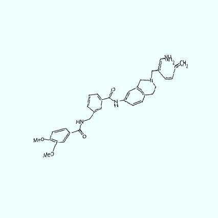 C=C/C=C\C(=C/N)CN1CCc2ccc(NC(=O)c3cccc(CNC(=O)c4ccc(OC)c(OC)c4)c3)cc2C1